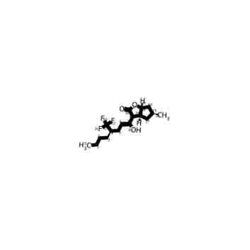 CCCC[C@H](CC=C(O)C1C(=O)O[C@@H]2C[C@H](C)C[C@@H]12)C(F)(F)F